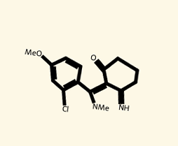 CN/C(=C1\C(=N)CCCC1=O)c1ccc(OC)cc1Cl